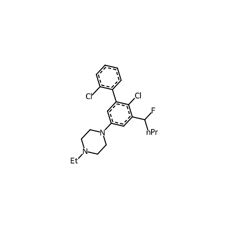 CCCC(F)c1cc(N2CCN(CC)CC2)cc(-c2ccccc2Cl)c1Cl